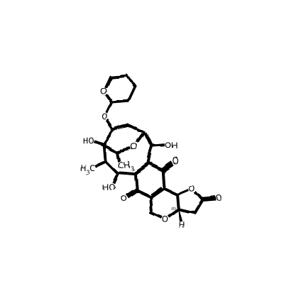 CC1OC2CC(OC3CCCCO3)C1(O)C(C)C(O)C1C(=O)C3=C(C(=O)C1C2O)C1OC(=O)C[C@@H]1OC3